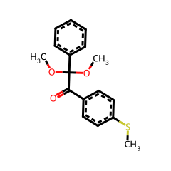 COC(OC)(C(=O)c1ccc(SC)cc1)c1ccccc1